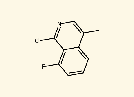 Cc1cnc(Cl)c2c(F)cccc12